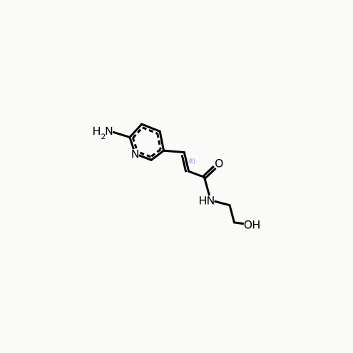 Nc1ccc(/C=C/C(=O)NCCO)cn1